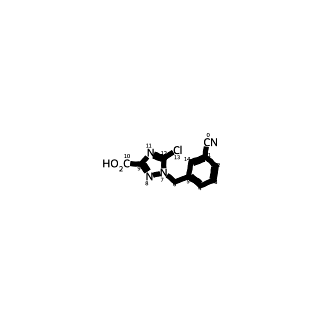 N#Cc1cccc(Cn2nc(C(=O)O)nc2Cl)c1